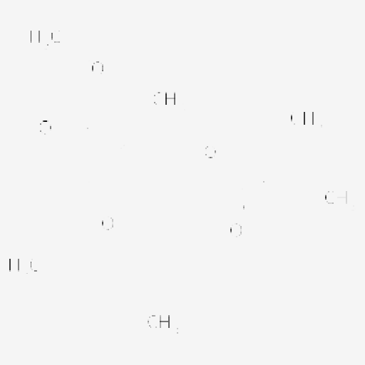 CCC(C)OCC(C)(COC(=O)C(C)C)C(=O)OC